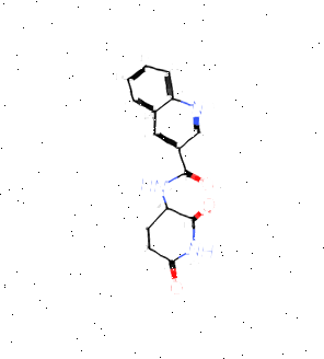 O=C1CCC(NC(=O)c2cnc3ccccc3c2)C(=O)N1